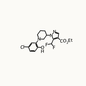 CCOC(=O)c1cnn(C2CCCN(c3cc(Cl)ccc3O)C2)c1C(F)F